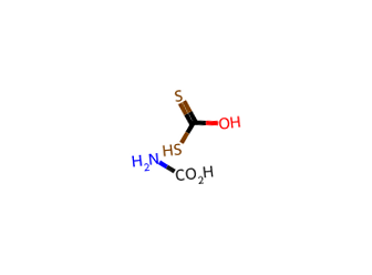 NC(=O)O.OC(=S)S